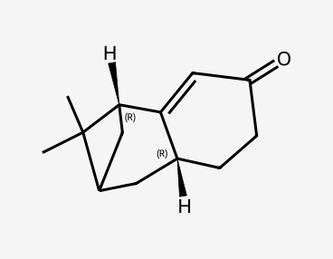 CC1(C)C2C[C@H]3CCC(=O)C=C3[C@@H]1C2